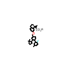 Cc1ccc(F)c(-c2ccc(COc3ccc4c(c3)[C@]3(CCC4)C[C@H]3C(=O)O)cc2C2=CCCC2(C)C)c1